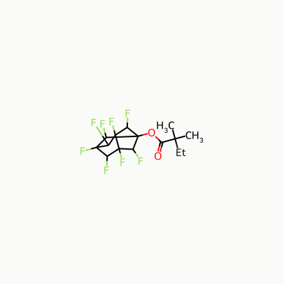 CCC(C)(C)C(=O)OC12C(F)C3(F)C(F)C(F)(C1F)C(F)(C3F)C2F